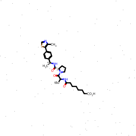 Cc1ncsc1-c1ccc([C@H](C)NC(=O)[C@@H]2CCCN2C(=O)C(NC(=O)CCCCCCC(=O)O)C(C)(C)C)cc1